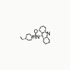 C=Cc1ccc(C(=O)Nc2c3ccccc3nc3ccccc23)cc1